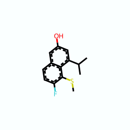 CSc1c(F)ccc2cc(O)cc(C(C)C)c12